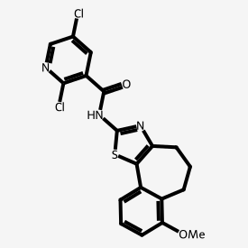 COc1cccc2c1CCCc1nc(NC(=O)c3cc(Cl)cnc3Cl)sc1-2